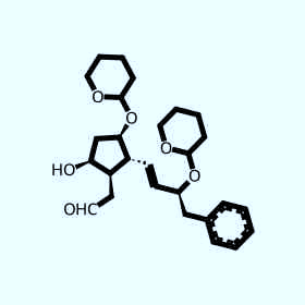 O=CC[C@@H]1[C@@H](C=C[C@H](Cc2ccccc2)OC2CCCCO2)[C@H](OC2CCCCO2)C[C@@H]1O